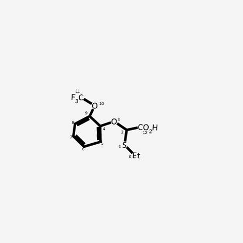 CCSC(Oc1ccccc1OC(F)(F)F)C(=O)O